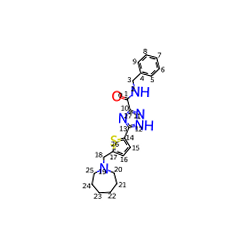 O=C(NCc1ccccc1)c1n[nH]c(-c2ccc(CN3CCCCCC3)s2)n1